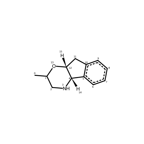 CC1CN[C@H]2c3ccccc3C[C@H]2O1